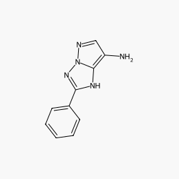 Nc1cnn2nc(-c3ccccc3)[nH]c12